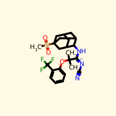 CC(C)(Oc1ccccc1C(F)(F)F)/C(=N\C#N)NC1C2CC3CC1CC(S(C)(=O)=O)(C3)C2